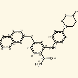 CN1CCN(c2ccc(Nc3cc(Cc4ccc5ccccc5c4)cnc3C(N)=O)cc2)CC1